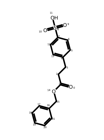 O=C(CCc1ccc(S(=O)(=O)O)cc1)OCc1ccccc1